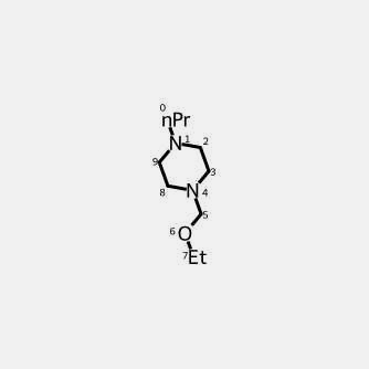 CCCN1CCN(COCC)CC1